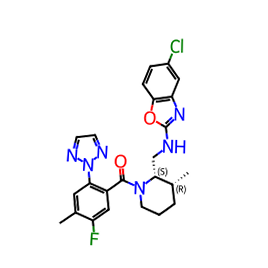 Cc1cc(-n2nccn2)c(C(=O)N2CCC[C@@H](C)[C@H]2CNc2nc3cc(Cl)ccc3o2)cc1F